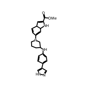 COC(=O)C1=CC2C=CC(N3CCCC(Nc4ccc(-c5cn[nH]c5)cc4)C3)=CC2N1